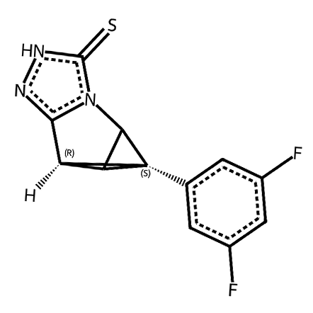 Fc1cc(F)cc([C@@]23C4C2n2c(n[nH]c2=S)[C@H]43)c1